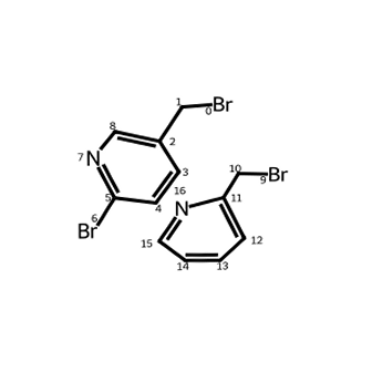 BrCc1ccc(Br)nc1.BrCc1ccccn1